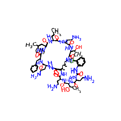 CCCC1NC(=O)C(CC(C)C)NC(=O)C(Cc2ccccc2)NC(=O)C(CCN)NC(=O)C(NC(=O)C(CCN)NC(=O)C(NC(=O)C(CCN)NC(=O)Nc2ccccc2Cl)C(C)O)CCNC(=O)C(C(C)O)NC(=O)C(CCN)NC1=O